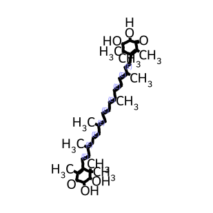 CC1=C(/C=C/C(C)=C/C=C/C(C)=C/C=C/C=C(C)/C=C/C=C(C)/C=C/C2=C(C)C(=O)C(O)C(O)C2(C)C)C(C)(C)C(O)C(O)C1=O